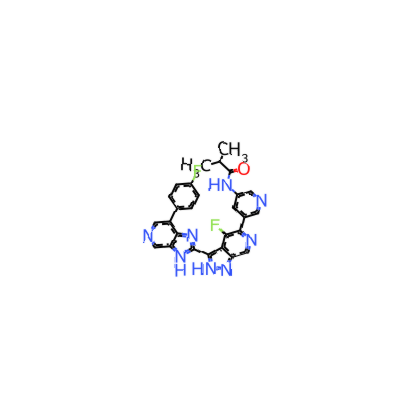 CC(C)C(=O)Nc1cncc(-c2ncc3n[nH]c(-c4nc5c(-c6ccc(F)cc6)cncc5[nH]4)c3c2F)c1